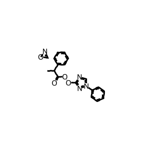 C1=NO1.CC(C(=O)OOc1ncn(-c2ccccc2)n1)c1ccccc1